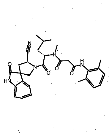 Cc1cccc(C)c1NC(=O)CC(=O)N(C)[C@@H](CC(C)C)C(=O)N1C[C@]2(C[C@H]1C#N)C(=O)Nc1ccccc12